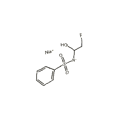 O=S(=O)([N-]C(O)CF)c1ccccc1.[Na+]